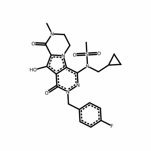 CN1CCn2c(c(O)c3c(=O)n(Cc4ccc(F)cc4)nc(N(CC4CC4)S(C)(=O)=O)c32)C1=O